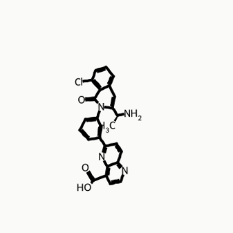 C[C@H](N)c1cc2cccc(Cl)c2c(=O)n1-c1cccc(-c2ccc3nccc(C(=O)O)c3n2)c1